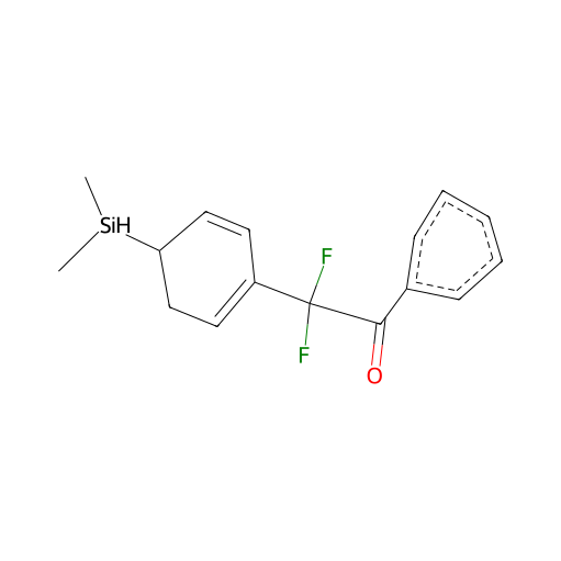 C[SiH](C)C1C=CC(C(F)(F)C(=O)c2ccccc2)=CC1